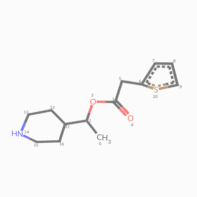 CC(OC(=O)Cc1cccs1)C1CCNCC1